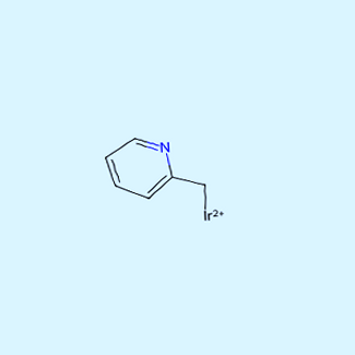 [Ir+2][CH2]c1ccccn1